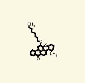 CCCCCCCCOc1cc2c3ccccc3c(=O)c3ccc4c5c(C)cccc5sc1c4c32